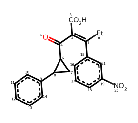 CCC(=C(C(=O)O)C(=O)C1CC1c1ccccc1)c1cccc([N+](=O)[O-])c1